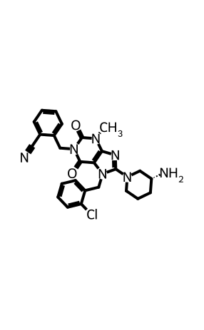 Cn1c(=O)n(Cc2ccccc2C#N)c(=O)c2c1nc(N1CCC[C@@H](N)C1)n2Cc1ccccc1Cl